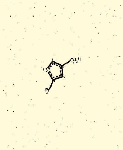 CC(C)c1cc(C(=O)O)cs1